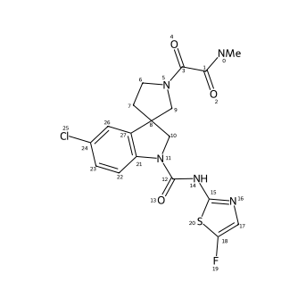 CNC(=O)C(=O)N1CCC2(C1)CN(C(=O)Nc1ncc(F)s1)c1ccc(Cl)cc12